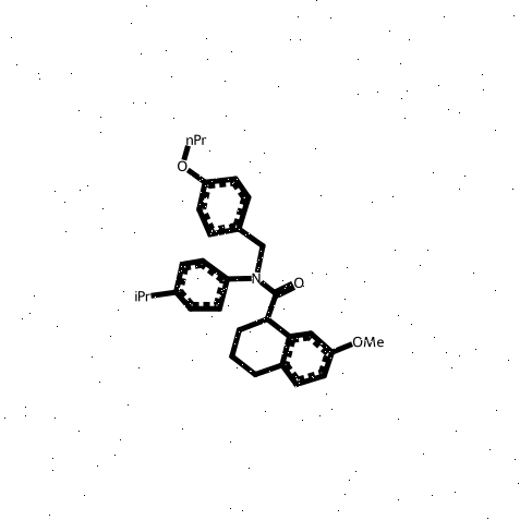 CCCOc1ccc(CN(C(=O)C2CCCc3ccc(OC)cc32)c2ccc(C(C)C)cc2)cc1